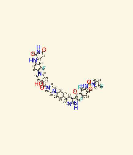 O=C1CCC(Nc2ccc(N3CCC(O)(CC(=O)N4CCN(c5ccc(-c6cnc7[nH]cc(C(=O)c8c(F)ccc(NS(=O)(=O)N9CC[C@@H](F)C9)c8F)c7c6)cc5)CC4)CC3)c(F)c2)C(=O)N1